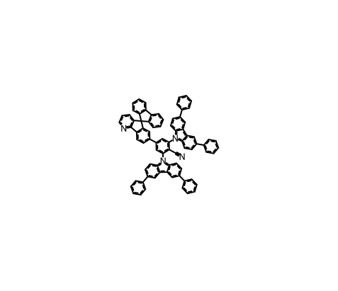 N#Cc1c(-n2c3ccc(-c4ccccc4)cc3c3cc(-c4ccccc4)ccc32)cc(-c2ccc3c(c2)C2(c4ccccc4-c4ccccc42)c2cccnc2-3)cc1-n1c2ccc(-c3ccccc3)cc2c2cc(-c3ccccc3)ccc21